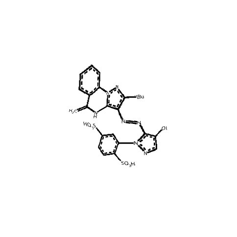 C=C1Nc2c(/N=N/c3c(C#N)cnn3-c3cc(S(=O)(=O)O)ccc3S(=O)(=O)O)c(C(C)(C)C)nn2-c2ccccc21